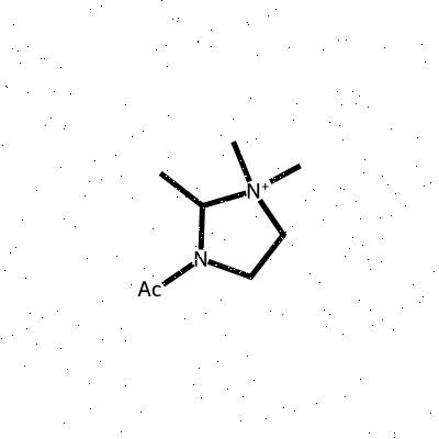 CC(=O)N1CC[N+](C)(C)C1C